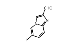 O=Cc1cn2cc(I)ccc2n1